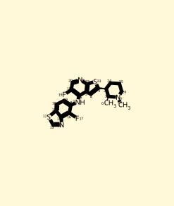 C[C@@H]1[C@@H](c2cc3c(Nc4ccc5scnc5c4F)c(F)cnc3s2)CCCN1C